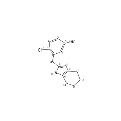 Clc1ccc(Br)cc1Cc1cc2c(s1)CCCC2